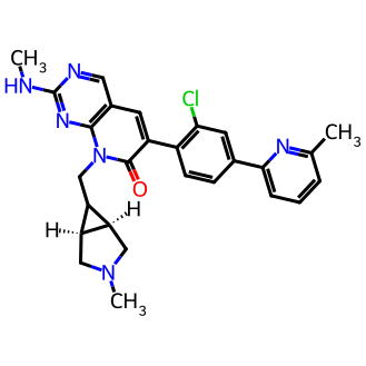 CNc1ncc2cc(-c3ccc(-c4cccc(C)n4)cc3Cl)c(=O)n(CC3[C@H]4CN(C)C[C@@H]34)c2n1